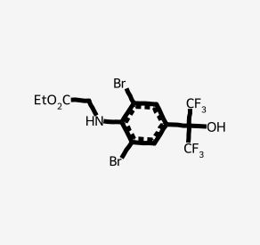 CCOC(=O)CNc1c(Br)cc(C(O)(C(F)(F)F)C(F)(F)F)cc1Br